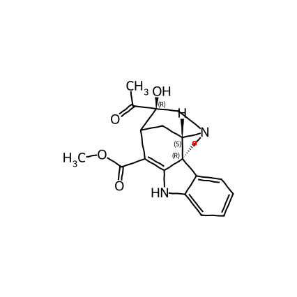 COC(=O)C1=C2Nc3ccccc3[C@@]23CCN2C[C@@](O)(C(C)=O)C1C[C@H]23